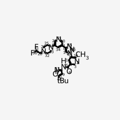 Cc1ncc(C(=O)Nc2cc(C(C)(C)C)on2)cc1-n1cc(-c2cncc(N3CCN(CC(F)F)CC3)c2)nn1